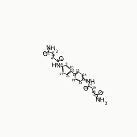 NC(=O)SCC(=O)Nc1ccc(-c2ccc(NC(=O)CSC(N)=O)cc2)cc1